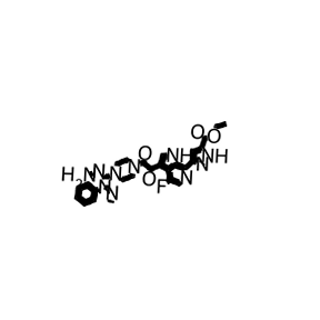 C=NN(/C(=N\N)N1CCN(C(=O)C(=O)c2c[nH]c3c(-c4cc(C(=O)OCC)[nH]n4)ncc(F)c23)CC1)c1ccccc1